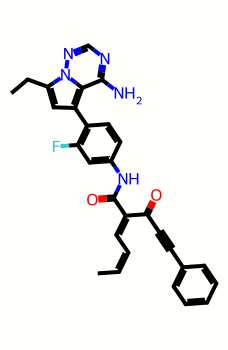 C/C=C\C=C(/C(=O)C#Cc1ccccc1)C(=O)Nc1ccc(-c2cc(CC)n3ncnc(N)c23)c(F)c1